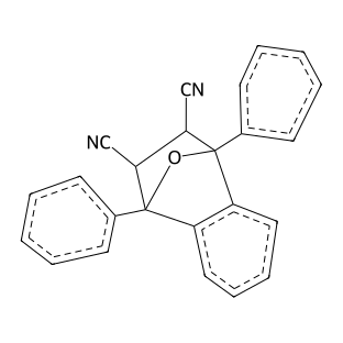 N#CC1C(C#N)C2(c3ccccc3)OC1(c1ccccc1)c1ccccc12